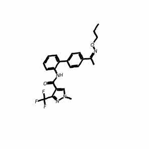 CCCO/N=C(/C)c1ccc(-c2ccccc2NC(=O)c2cn(C)nc2C(F)(F)F)cc1